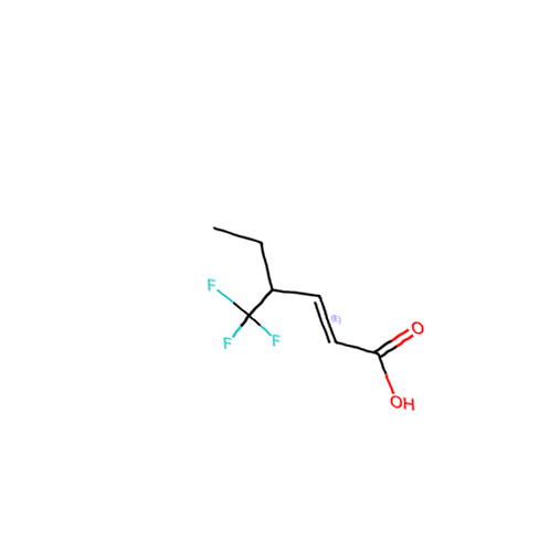 CCC(/C=C/C(=O)O)C(F)(F)F